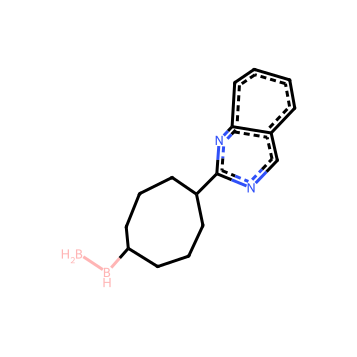 BBC1CCCC(c2ncc3ccccc3n2)CCC1